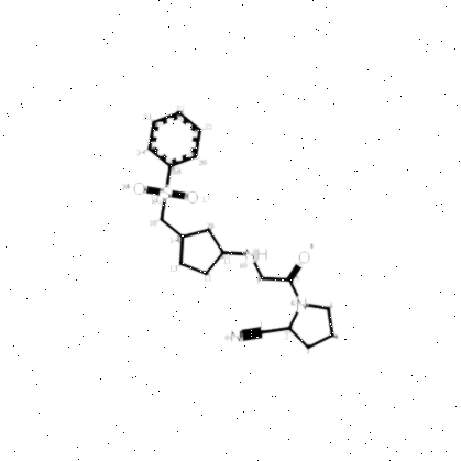 N#CC1CCCN1C(=O)CNC1CCC(CS(=O)(=O)c2ccccc2)C1